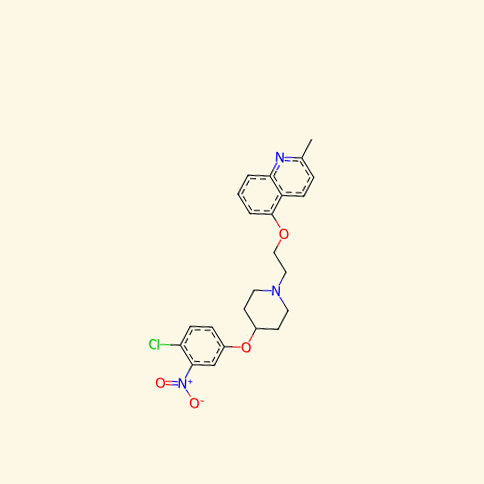 Cc1ccc2c(OCCN3CCC(Oc4ccc(Cl)c([N+](=O)[O-])c4)CC3)cccc2n1